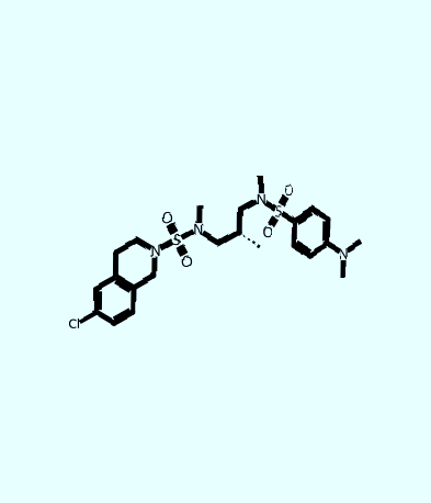 C[C@@H](CN(C)S(=O)(=O)c1ccc(N(C)C)cc1)CN(C)S(=O)(=O)N1CCc2cc(Cl)ccc2C1